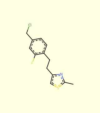 Cc1nc(CCc2ccc(CCl)cc2F)cs1